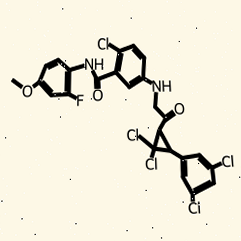 COc1ccc(NC(=O)c2cc(NCC(=O)C3C(c4cc(Cl)cc(Cl)c4)C3(Cl)Cl)ccc2Cl)c(F)c1